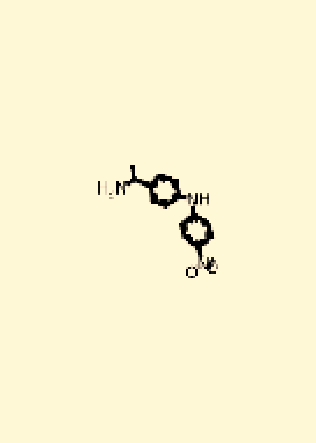 C[C@H](N)c1ccc(Nc2ccc([N+](=O)[O-])cc2)cc1